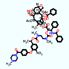 CC(=O)O[C@H]1C(=O)[C@@]2(C)[C@H]([C@H](OC(=O)c3ccccc3)[C@]3(O)C[C@H](OC(=O)[C@H](OC(=O)N(C)CCN(C)C(=O)OC(C)c4ccc([N+](=O)[O-])c(Oc5ccc(C(=O)N6CCN(C)CC6)cc5)c4)[C@@H](NC(=O)c4ccccc4)c4ccccc4)C(C)=C1C3(C)C)[C@]1(OC(C)=O)CO[C@@H]1C[C@@H]2O